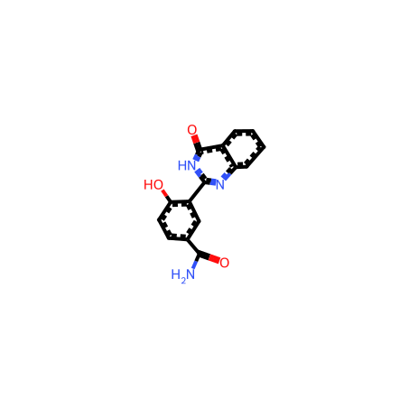 NC(=O)c1ccc(O)c(-c2nc3ccccc3c(=O)[nH]2)c1